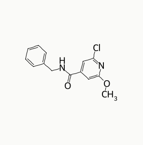 COc1cc(C(=O)NCc2ccccc2)cc(Cl)n1